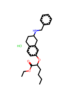 CCCCC(Oc1ccc2c(c1)CC(NCc1ccccc1)CC2)C(=O)OCC.Cl